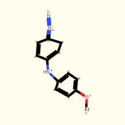 CCOc1ccc(NC2=CCC(=[N+]=[N-])C=C2)cc1